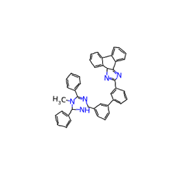 CN1C(c2ccccc2)=NC(c2cccc(-c3cccc(C4=NC5C(=N4)c4ccccc4-c4ccccc45)c3)c2)NC1c1ccccc1